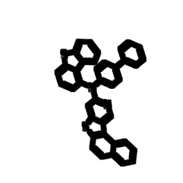 c1ccc(-c2ccc(N(c3cc4sc5ccc6ccccc6c5c4cn3)c3cccc4sc5ccccc5c34)cc2)cc1